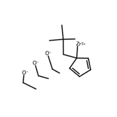 CC(C)(C)C[C]1([Zr+3])C=CC=C1.CC[O-].CC[O-].CC[O-]